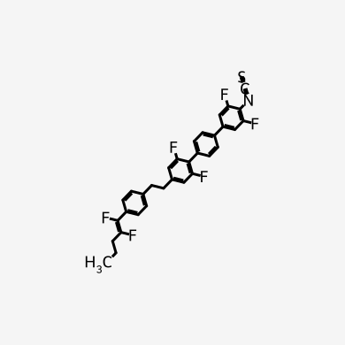 CCC/C(F)=C(\F)c1ccc(CCc2cc(F)c(-c3ccc(-c4cc(F)c(N=C=S)c(F)c4)cc3)c(F)c2)cc1